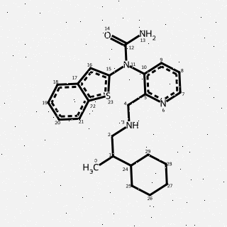 CC(CNCc1ncccc1N(C(N)=O)c1cc2ccccc2s1)C1CCCCC1